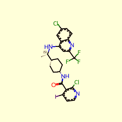 C[C@H](Nc1cc(C(F)(F)F)nc2ccc(Cl)cc12)[C@H]1CC[C@@H](NC(=O)c2c(I)ccnc2Cl)CC1